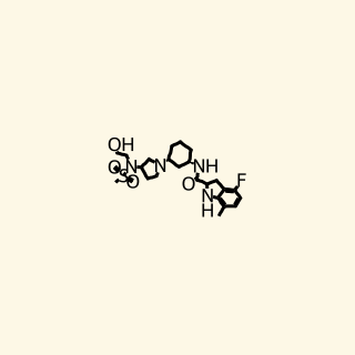 Cc1ccc(F)c2c1NC(C(=O)N[C@@H]1CCC[C@@H](N3CCC(N(CCO)S(C)(=O)=O)C3)C1)C2